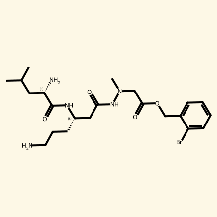 CC(C)C[C@H](N)C(=O)N[C@@H](CCCN)CC(=O)NN(C)CC(=O)OCc1ccccc1Br